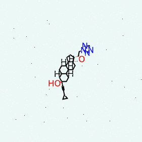 C[C@]12CC[C@H]3[C@@H](CC[C@@H]4C[C@@](O)(C#CC5CC5)CC[C@@H]43)[C@@H]1CC[C@@H]2C(=O)Cn1ncnn1